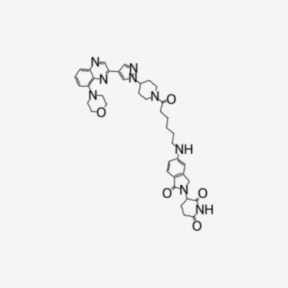 O=C1CCC(N2Cc3cc(NCCCCCC(=O)N4CCC(n5cc(-c6cnc7cccc(N8CCOCC8)c7n6)cn5)CC4)ccc3C2=O)C(=O)N1